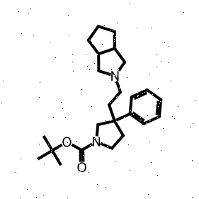 CC(C)(C)OC(=O)N1CCC(CCN2CC3CCCC3C2)(c2ccccc2)C1